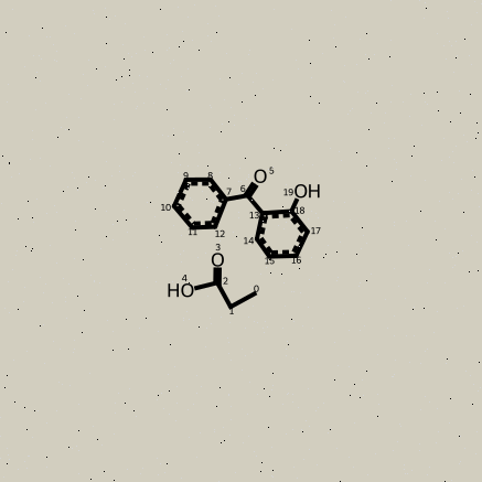 CCC(=O)O.O=C(c1ccccc1)c1ccccc1O